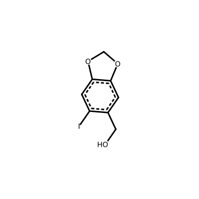 OCc1cc2c(cc1I)OCO2